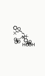 CC(C)(C)C1=CC(=CC=CC2=[N+](CCCS(=O)(=O)[O-])c3ccc([As](=O)(O)O)cc3C2(C)C)Oc2ccccc21